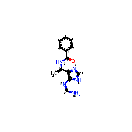 C=C(NC(=O)c1ccccc1)c1nc[nH]c1/N=C\N